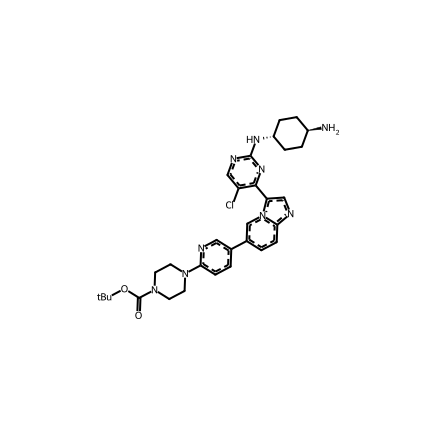 CC(C)(C)OC(=O)N1CCN(c2ccc(-c3ccc4ncc(-c5nc(N[C@H]6CC[C@H](N)CC6)ncc5Cl)n4c3)cn2)CC1